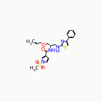 C=CCOC[C@@H](CNc1nc(-c2ccccc2)cs1)NC(=O)c1ccn(S(C)(=O)=O)c1